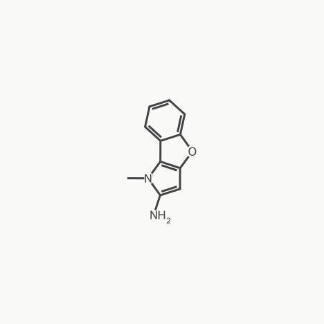 Cn1c(N)cc2oc3ccccc3c21